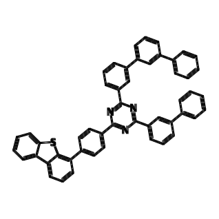 c1ccc(-c2cccc(-c3cccc(-c4nc(-c5ccc(-c6cccc7c6sc6ccccc67)cc5)nc(-c5cccc(-c6ccccc6)c5)n4)c3)c2)cc1